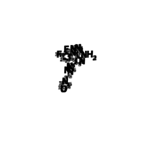 Nc1ncc(-c2cn(CCN3CCOCC3)nn2)cc1-c1nnnn1-c1cccc(F)c1F